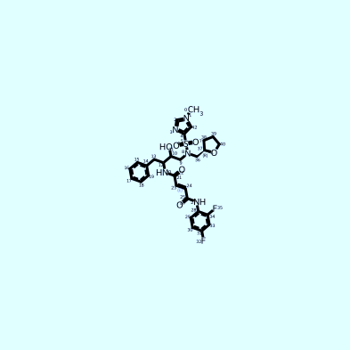 Cn1cnc(S(=O)(=O)N(CC(O)C(Cc2ccccc2)NC(=O)/C=C/C(=O)Nc2ccc(F)cc2F)C[C@H]2CCCO2)c1